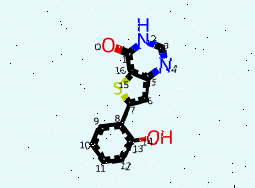 O=c1[nH]cnc2cc(-c3ccccc3O)sc12